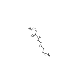 [CH2]CC(=O)OCCOCCC